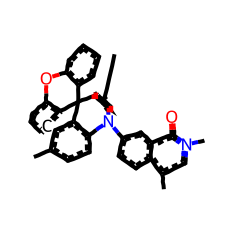 Cc1ccc2c(c1)C1(c3ccccc3Oc3ccccc31)c1cc(C)ccc1N2c1ccc2c(C)cn(C)c(=O)c2c1